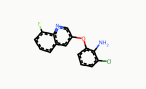 Nc1c(Cl)cccc1Oc1cnc2c(F)cccc2c1